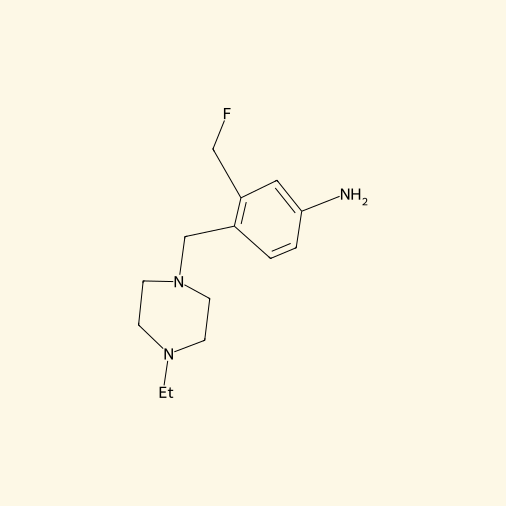 CCN1CCN(Cc2ccc(N)cc2CF)CC1